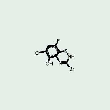 Oc1c(Cl)cc(F)c2c1N=C(Br)NS2